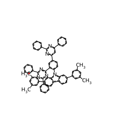 Cc1cc(C)cc(-c2ccc3c4ccc(-c5cc(C)cc(C)c5)cc4n(-c4ccc(-c5cc(-c6ccccc6)nc(-c6ccccc6)n5)cc4-c4nc(-c5ccccc5)nc(-c5ccccc5)n4)c3c2)c1